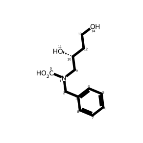 O=C(O)N(Cc1ccccc1)C[C@H](O)CCO